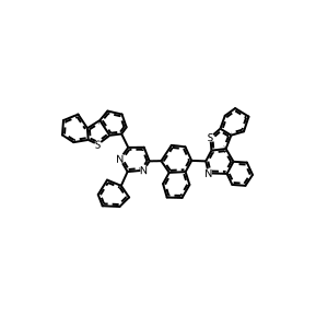 c1ccc(-c2nc(-c3ccc(-c4nc5ccccc5c5c4sc4ccccc45)c4ccccc34)cc(-c3cccc4c3sc3ccccc34)n2)cc1